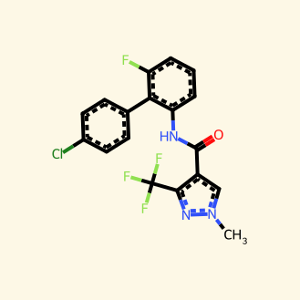 Cn1cc(C(=O)Nc2cccc(F)c2-c2ccc(Cl)cc2)c(C(F)(F)F)n1